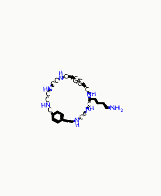 NCCCCC1CNCCNCC2=CCC(C=C2)CNCCNCCNCc2ccc(cc2)CN1